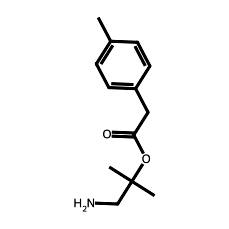 Cc1ccc(CC(=O)OC(C)(C)CN)cc1